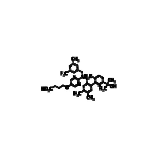 Cc1cc(CN(Cc2cc(C)c(C)cc2-c2nc(C(C)(C)O)ccc2C)c2ncc(OCCCC(=O)O)cn2)cc(C(F)(F)F)c1